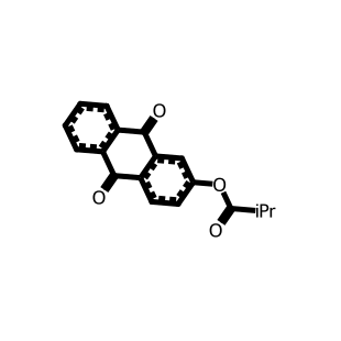 CC(C)C(=O)Oc1ccc2c(c1)C(=O)c1ccccc1C2=O